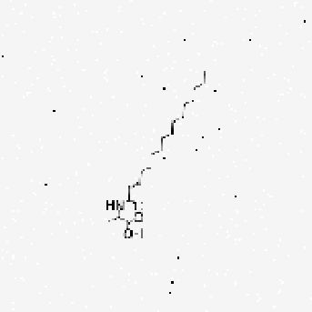 CCCCCCCCCCCCCC=CC(=O)NC(C)C(=O)O